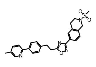 Cc1ccc(-c2ccc(CCc3nc(-c4ccc5c(c4)CCN(S(C)(=O)=O)C5)no3)cc2)nc1